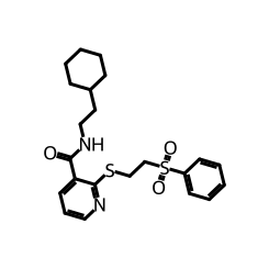 O=C(NCCC1CCCCC1)c1cccnc1SCCS(=O)(=O)c1ccccc1